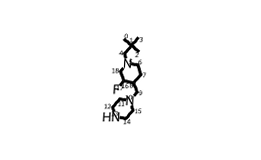 CC(C)(C)CN1CCC(CN2CCNCC2)C(F)C1